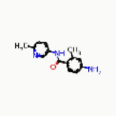 Cc1ccc(NC(=O)c2ccc(N)cc2C)cn1